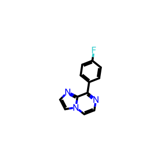 Fc1ccc(-c2nccn3ccnc23)cc1